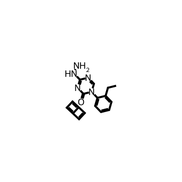 CCc1ccccc1-n1cnc(NN)nc1=O.c1cc2ccc1-2